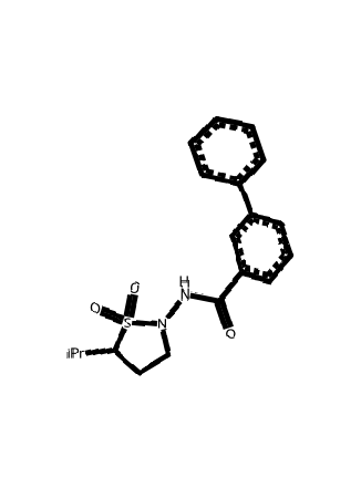 CC(C)C1CCN(NC(=O)c2cccc(-c3ccccc3)c2)S1(=O)=O